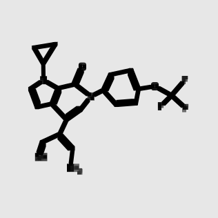 N=C/C(=C\N)c1cn(-c2ccc(OC(F)(F)F)cc2)c(=O)c2c1ccn2C1CC1